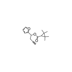 C#CCC(OC(=O)C1C(C)(C)C1(C)C)c1ccco1